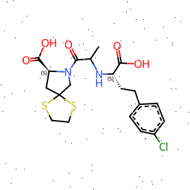 CC(N[C@@H](CCc1ccc(Cl)cc1)C(=O)O)C(=O)N1CC2(C[C@H]1C(=O)O)SCCS2